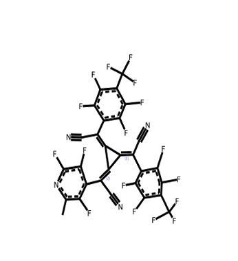 Cc1nc(F)c(F)c(/C(C#N)=C2\C(=C(C#N)c3c(F)c(F)c(C(F)(F)F)c(F)c3F)\C2=C(/C#N)c2c(F)c(F)c(C(F)(F)F)c(F)c2F)c1F